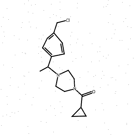 CC(c1ccc(CCl)cc1)N1CCN(C(=O)C2CC2)CC1